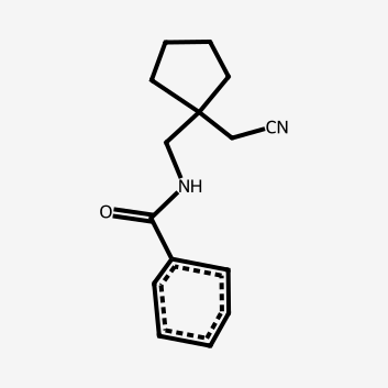 N#CCC1(CNC(=O)c2ccccc2)CCCC1